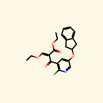 CCO/C=C(/C(=O)OCC)C(=O)c1cc(OC2Cc3ccccc3C2)cnc1F